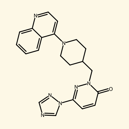 O=c1ccc(-n2cncn2)nn1CC1CCN(c2ccnc3ccccc23)CC1